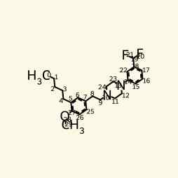 CCCCCc1cc(CCN2CCN(c3cccc(C(F)F)c3)CC2)ccc1OC